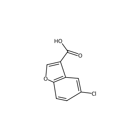 O=C(O)c1coc2ccc(Cl)cc12